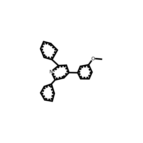 COc1cccc(-c2cc(-c3ccccc3)nc(-c3ccccc3)c2)c1